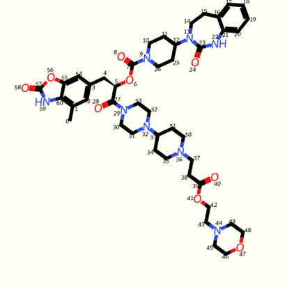 Cc1cc(C[C@@H](OC(=O)N2CCC(N3CCc4ccccc4NC3=O)CC2)C(=O)N2CCN(C3CCN(CCC(=O)OCCN4CCOCC4)CC3)CC2)cc2oc(=O)[nH]c12